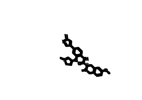 COc1ccc2c(c1)C[C@H](C(=O)Nc1ccc(-c3cn[nH]c3)cc1OC1CCN(C)C1)N(C)C2